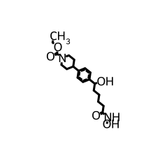 CCOC(=O)N1CCC(c2ccc(C(O)CCCCC(=O)NO)cc2)CC1